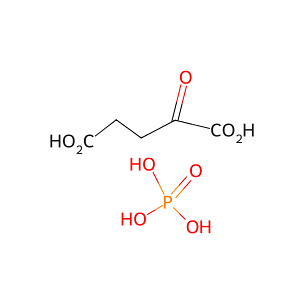 O=C(O)CCC(=O)C(=O)O.O=P(O)(O)O